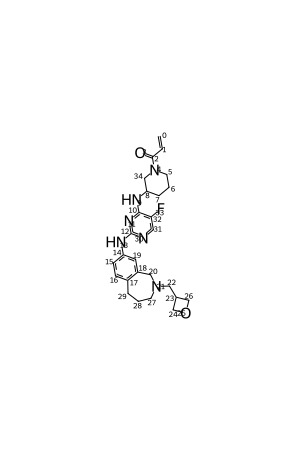 C=CC(=O)N1CCCC(Nc2nc(Nc3ccc4c(c3)CN(CC3COC3)CCC4)ncc2F)C1